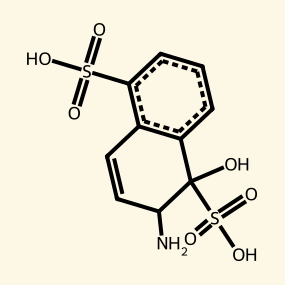 NC1C=Cc2c(cccc2S(=O)(=O)O)C1(O)S(=O)(=O)O